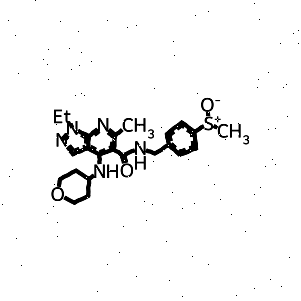 CCn1ncc2c(NC3CCOCC3)c(C(=O)NCc3ccc([S+](C)[O-])cc3)c(C)nc21